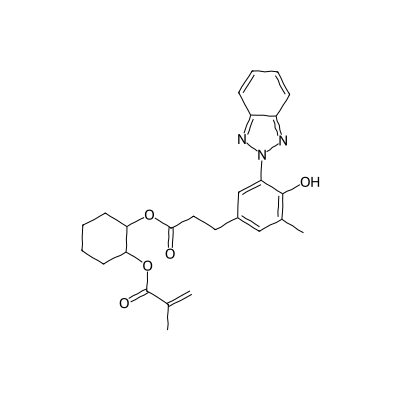 C=C(C)C(=O)OC1CCCCC1OC(=O)CCc1cc(C)c(O)c(-n2nc3ccccc3n2)c1